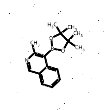 Cc1ncc2ccccc2c1B1OC(C)(C)C(C)(C)O1